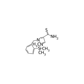 C[Si](C)(C)c1ccccc1Cn1cc(C(N)=S)cn1